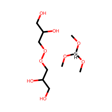 CO[SiH](OC)OC.OCC(O)COOCC(O)CO